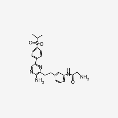 CC(C)S(=O)(=O)c1ccc(-c2cnc(N)c(CCc3cccc(NC(=O)CN)c3)n2)cc1